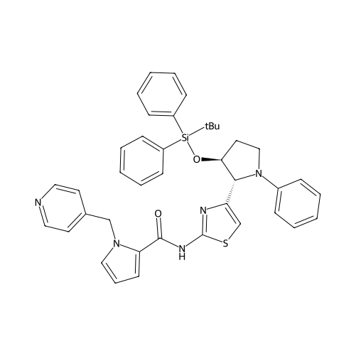 CC(C)(C)[Si](O[C@H]1CCN(c2ccccc2)[C@@H]1c1csc(NC(=O)c2cccn2Cc2ccncc2)n1)(c1ccccc1)c1ccccc1